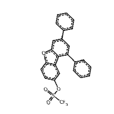 O=S(=O)(Oc1ccc2oc3cc(-c4ccccc4)cc(-c4ccccc4)c3c2c1)C(F)(F)F